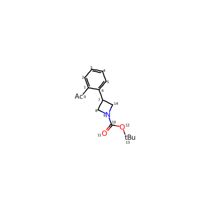 CC(=O)c1ccccc1C1CN(C(=O)OC(C)(C)C)C1